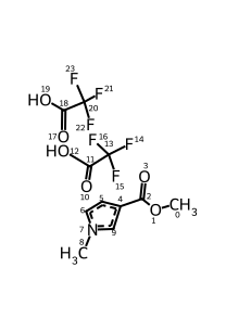 COC(=O)c1ccn(C)c1.O=C(O)C(F)(F)F.O=C(O)C(F)(F)F